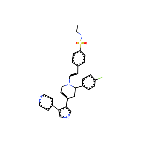 O=C(O)CNS(=O)(=O)c1ccc(C=CN2CC=C(c3c[nH]cc3-c3ccncc3)CC2c2ccc(F)cc2)cc1